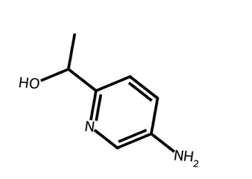 CC(O)c1ccc(N)cn1